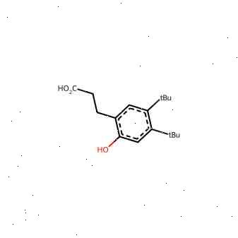 CC(C)(C)c1cc(O)c(CCC(=O)O)cc1C(C)(C)C